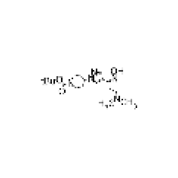 CN(C)CC/C(=N/O)c1cnn(C2CCN(C(=O)OC(C)(C)C)CC2)c1